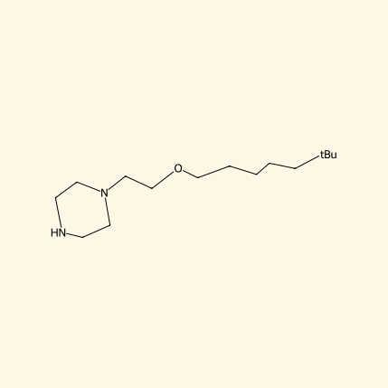 CC(C)(C)CCCCCOCCN1CCNCC1